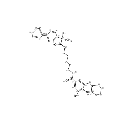 CC(F)(C(=O)OCCCCCOC(=O)c1cc(Br)c(N)c(CN2CCCCC2)c1)c1ccc(-c2ccccc2)cc1